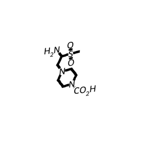 CS(=O)(=O)C(N)CN1CCN(C(=O)O)CC1